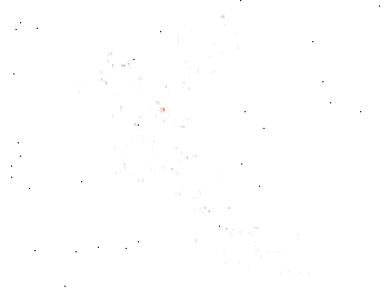 COC(=O)c1ccc(F)c(CNC(=O)Cn2nc(C3CCN(C(=O)OC(C)(C)C)CC3)c3c(-c4cc5c(cnn5C)cc4F)cccc32)c1